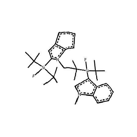 Cn1cc([Si](F)(C(C)(C)C)C(C)(C)Cn2c([Si](F)(C(C)(C)C)C(C)(C)C)cc3ccccc32)c2ccccc21